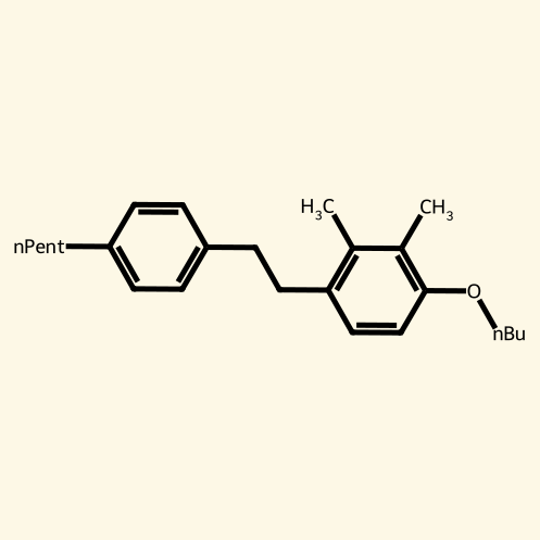 CCCCCc1ccc(CCc2ccc(OCCCC)c(C)c2C)cc1